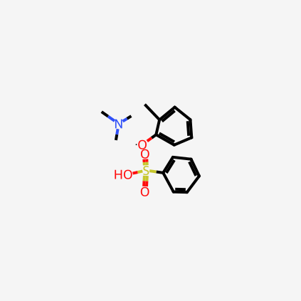 CN(C)C.Cc1ccccc1[O].O=S(=O)(O)c1ccccc1